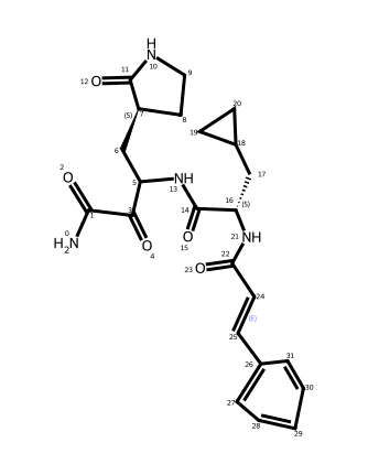 NC(=O)C(=O)C(C[C@@H]1CCNC1=O)NC(=O)[C@H](CC1CC1)NC(=O)/C=C/c1ccccc1